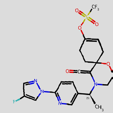 C[C@@H](c1ccc(-n2cc(F)cn2)nc1)N1CCOC2(CC=C(OS(=O)(=O)C(F)(F)F)CC2)C1=C=O